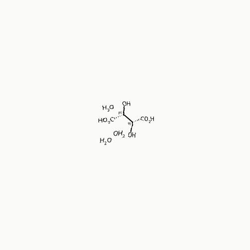 O.O.O.O=C(O)[C@H](O)[C@@H](O)C(=O)O